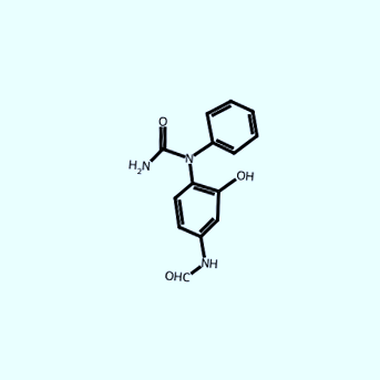 NC(=O)N(c1ccccc1)c1ccc(NC=O)cc1O